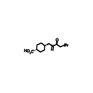 CC(C)CC(=O)NC[C@H]1CC[C@H](C(=O)O)CC1